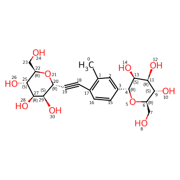 Cc1cc([C@H]2O[C@H](CO)[C@@H](O)[C@H](O)[C@@H]2O)ccc1C#C[C@H]1O[C@H](CO)[C@@H](O)[C@H](O)[C@@H]1O